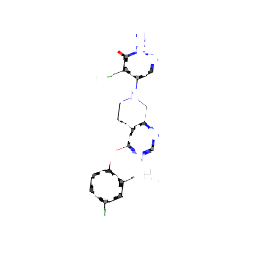 Cc1cc(F)ccc1Oc1ncnc2c1CCN(c1cn[nH]c(=O)c1Cl)C2